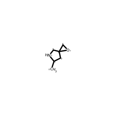 CC1CC2(CN1)CO2